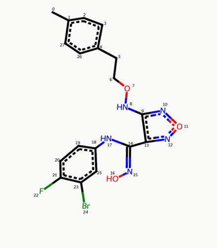 Cc1ccc(CCONc2nonc2/C(=N/O)Nc2ccc(F)c(Br)c2)cc1